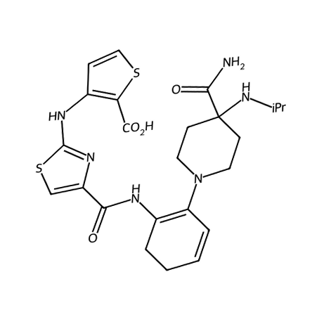 CC(C)NC1(C(N)=O)CCN(C2=C(NC(=O)c3csc(Nc4ccsc4C(=O)O)n3)CCC=C2)CC1